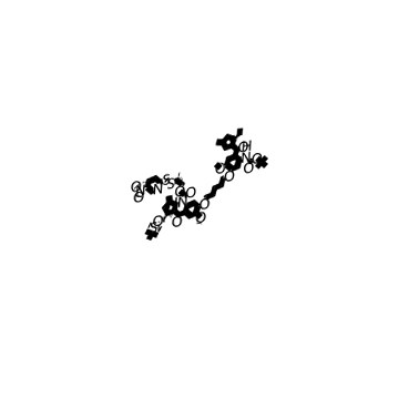 C=C1CC(C(=O)c2cc(OC)c(OCCCCCOc3cc(NC(=O)OC(C)(C)C)c(C(=O)C4CC(=C)C[C@H]4CC)cc3OC)cc2NC(=O)OC[C@@H](C)SSc2ccc([N+](=O)[O-])cn2)[C@H](CO[Si](C)(C)C(C)(C)C)C1